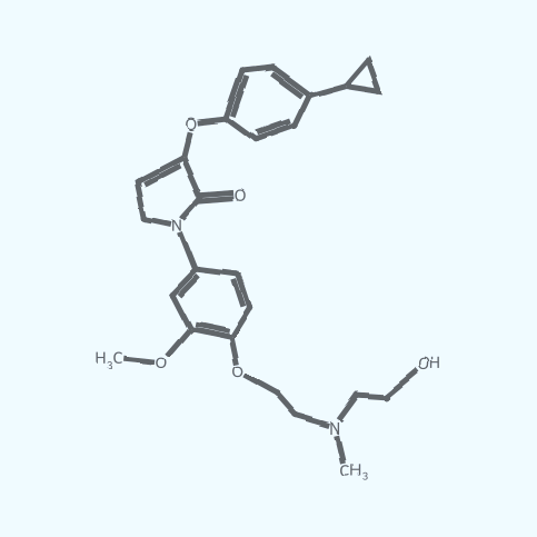 COc1cc(N2CC=C(Oc3ccc(C4CC4)cc3)C2=O)ccc1OCCN(C)CCO